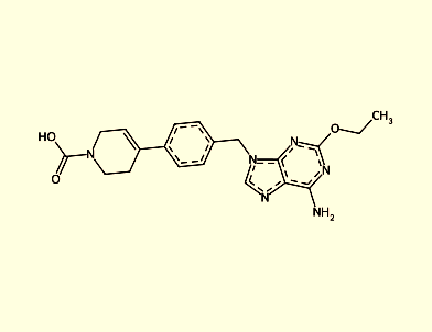 CCOc1nc(N)c2ncn(Cc3ccc(C4=CCN(C(=O)O)CC4)cc3)c2n1